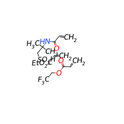 C=CC(=O)NC(C)(C)CS(=O)(=O)O.C=CC(=O)OCC.C=CC(=O)OCC(F)(F)F